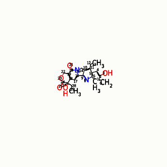 C=C/C(O)=C\c1c(C)nc2c(c1CC)Cn1c-2cc2c(c1=O)COC(=O)[C@]2(O)CC